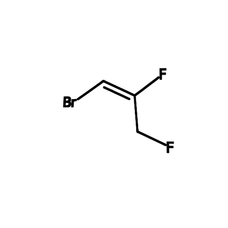 FC/C(F)=C\Br